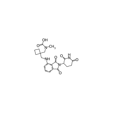 CN(CC1(CNc2cccc3c2C(=O)N(C2CCC(=O)NC2=O)C3=O)CCC1)C(=O)O